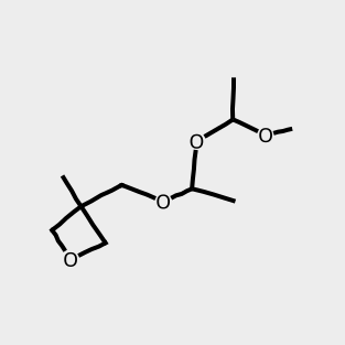 COC(C)OC(C)OCC1(C)COC1